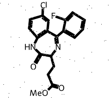 COC(=O)CCC1N=C(c2ccccc2F)c2cc(Cl)ccc2NC1=O